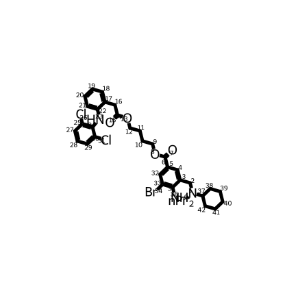 CCCN(Cc1cc(C(=O)OCCCCOC(=O)Cc2ccccc2Nc2c(Cl)cccc2Cl)cc(Br)c1N)C1CCCCC1